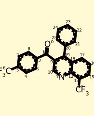 O=C(c1ccc(C(F)(F)F)cc1)c1cnc2c(C(F)(F)F)cccc2c1-c1ccccc1